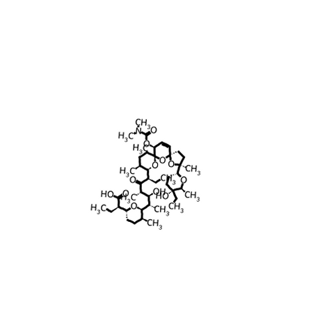 CC[C@@H](C(=O)[C@@H](C)[C@@H](O)[C@H](C)[C@@H]1O[C@@H]([C@@H](CC)C(=O)O)CC[C@@H]1C)[C@H]1O[C@@]2(O[C@]3(C=C[C@@H]2OC(=O)N(C)C)CC[C@@](C)([C@H]2CC[C@](O)(CC)[C@H](C)O2)O3)[C@H](C)C[C@@H]1C